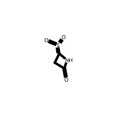 O=C1CC(=S(=O)=O)N1